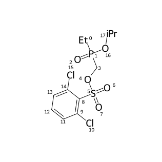 CCP(=O)(COS(=O)(=O)c1c(Cl)cccc1Cl)OC(C)C